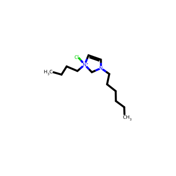 CCCCCCN1C=C[N+](Cl)(CCCC)C1